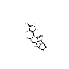 CC1=C(N2C(=O)C3(CC4CCC(C3)N4)CC2C)COC1=O